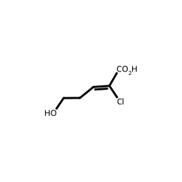 O=C(O)C(Cl)=CCCO